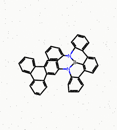 c1ccc(N2B3c4c(cccc4-c4ccccc4N3c3ccc4c5ccccc5c5ccccc5c4c3)-c3ccccc32)cc1